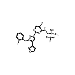 C[C@@](N)(CNc1nc(-c2cc(-c3ccon3)n(Cc3ccccc3F)n2)ncc1F)C(F)(F)F